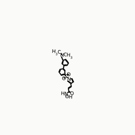 CN(C)Cc1cccc(-c2cccc(S(=O)(=O)n3ccc(C=CC(=O)NO)c3)c2)c1